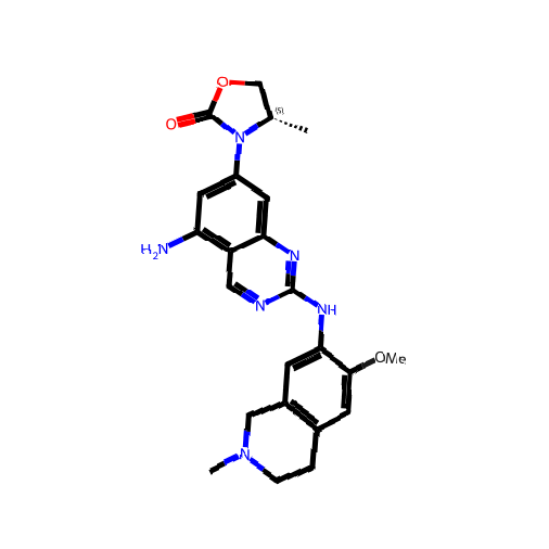 COc1cc2c(cc1Nc1ncc3c(N)cc(N4C(=O)OC[C@@H]4C)cc3n1)CN(C)CC2